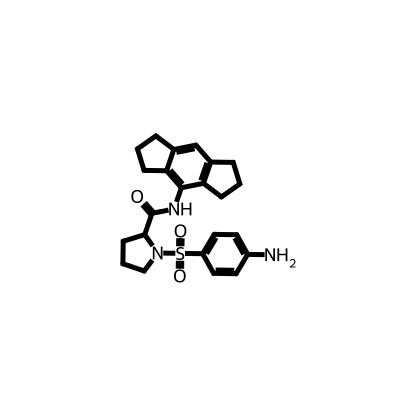 Nc1ccc(S(=O)(=O)N2CCCC2C(=O)Nc2c3c(cc4c2CCC4)CCC3)cc1